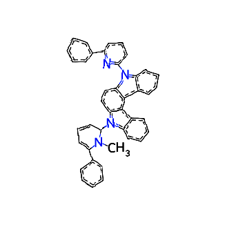 CN1C(c2ccccc2)=CC=CC1n1c2ccccc2c2c3c4ccccc4n(-c4cccc(-c5ccccc5)n4)c3ccc21